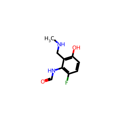 CNCc1c(O)ccc(F)c1NC=O